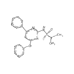 CC(C)S(=O)(=O)Nc1nc(Oc2ccccc2)cc(-c2ccccc2)n1